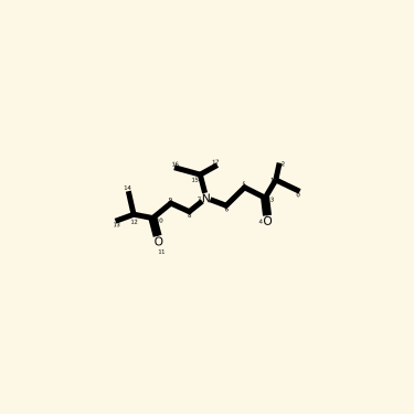 CC(C)C(=O)CCN(CCC(=O)C(C)C)C(C)C